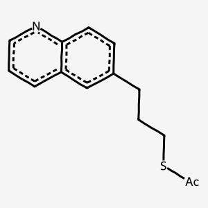 CC(=O)SCCCc1ccc2ncccc2c1